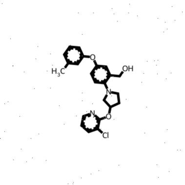 Cc1cccc(Oc2ccc(N3CCC(Oc4ncccc4Cl)C3)c(CO)c2)c1